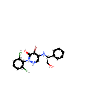 O=c1c(Br)c(N[C@H](CO)c2ccccc2)cnn1-c1c(Cl)cccc1Cl